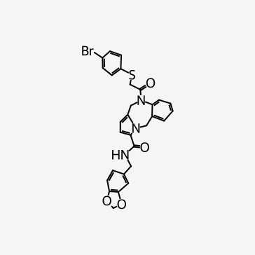 O=C(NCc1ccc2c(c1)OCO2)c1ccc2n1Cc1ccccc1N(C(=O)CSc1ccc(Br)cc1)C2